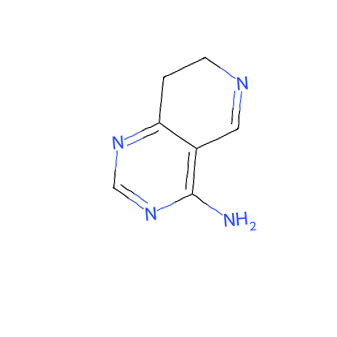 Nc1ncnc2c1C=NCC2